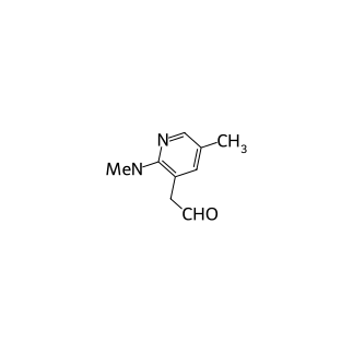 CNc1ncc(C)cc1CC=O